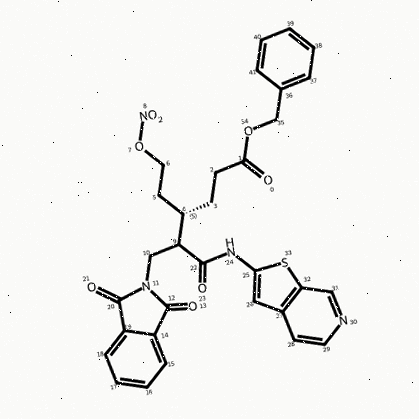 O=C(CC[C@@H](CCO[N+](=O)[O-])C(CN1C(=O)c2ccccc2C1=O)C(=O)Nc1cc2ccncc2s1)OCc1ccccc1